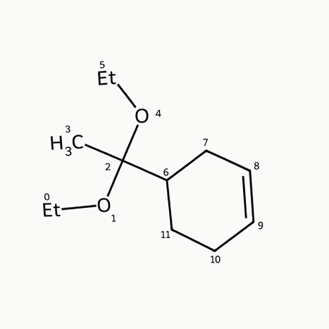 CCOC(C)(OCC)C1CC=CCC1